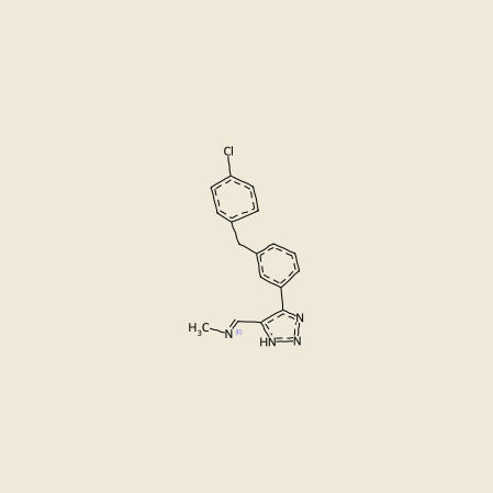 C/N=C/c1[nH]nnc1-c1cccc(Cc2ccc(Cl)cc2)c1